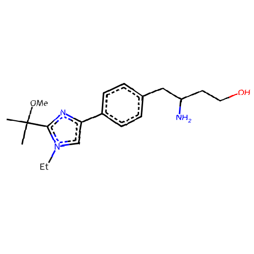 CCn1cc(-c2ccc(CC(N)CCO)cc2)nc1C(C)(C)OC